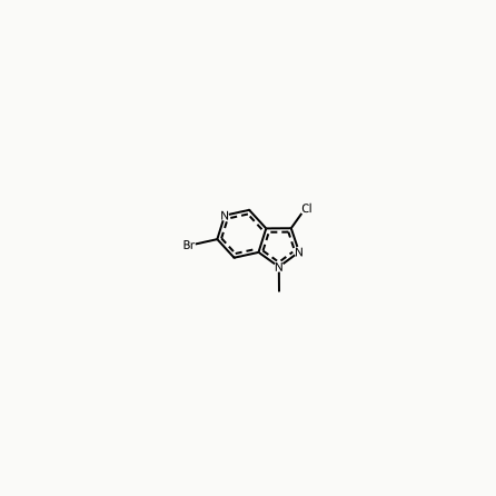 Cn1nc(Cl)c2cnc(Br)cc21